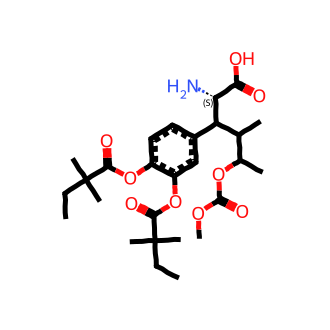 CCC(C)(C)C(=O)Oc1ccc(C(C(C)C(C)OC(=O)OC)[C@H](N)C(=O)O)cc1OC(=O)C(C)(C)CC